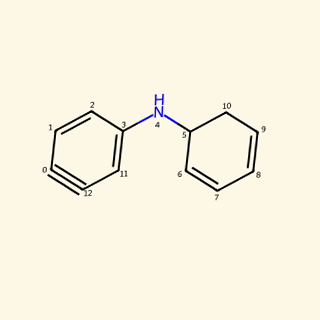 c1ccc(NC2C=CC=CC2)cc#1